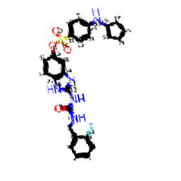 O=C(NCc1ccccc1F)Nc1nc2cc(OS(=O)(=O)c3ccc(NC4CCCC4)cc3)ccc2[nH]1